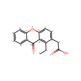 CCc1c(CC(=O)O)ccc2oc3ccccc3c(=O)c12